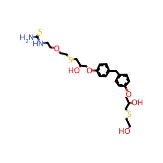 NC(=S)NCCOCCSCC(O)COc1ccc(Cc2ccc(OCC(O)CSCCO)cc2)cc1